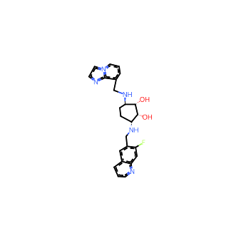 O[C@@H]1[C@H](O)[C@H](NCc2cc3cccnc3cc2F)CC[C@H]1NCc1cccn2ccnc12